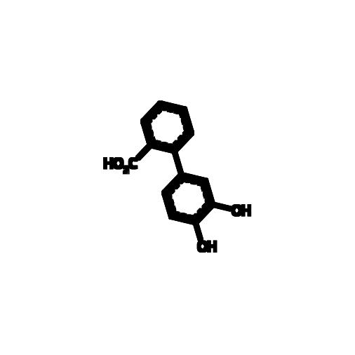 O=C(O)c1ccccc1-c1ccc(O)c(O)c1